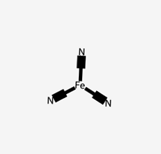 N#[C][Fe]([C]#N)[C]#N